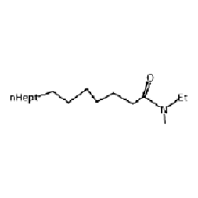 CCCCCCCCCCCC[CH]C(=O)N(C)CC